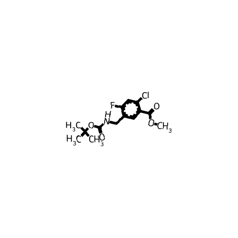 COC(=O)c1cc(CNC(=O)OC(C)(C)C)c(F)cc1Cl